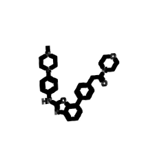 CN1CCN(c2ccc(Nc3nc4cccc(-c5ccc(CC(=O)N6CCOCC6)cc5)c4o3)cc2)CC1